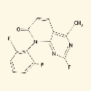 Cc1nc(F)nc2c1ccc(=O)n2-c1c(F)cccc1F